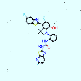 CC1(C)CN(c2ccccc2NC(=O)Nc2nc3ccc(F)nc3s2)c2c(O)cc(F)c(-c3nc4cc(F)ccc4s3)c21